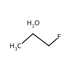 CCCF.O